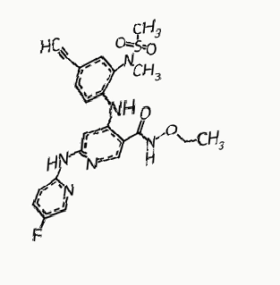 C#Cc1ccc(Nc2cc(Nc3ccc(F)cn3)ncc2C(=O)NOCC)c(N(C)S(C)(=O)=O)c1